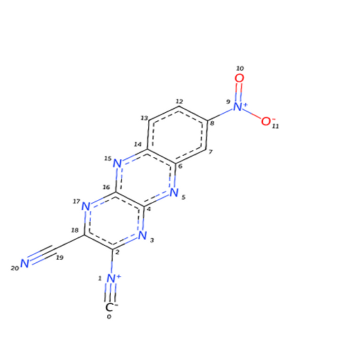 [C-]#[N+]c1nc2nc3cc([N+](=O)[O-])ccc3nc2nc1C#N